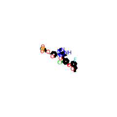 Cc1cc2cc(F)cc(Oc3ccc(C(=O)c4c[nH]c5ncnc(N[C@@H]6CC[C@@H](COCCS(C)(=O)=O)OC6)c45)c(Cl)c3)c2o1